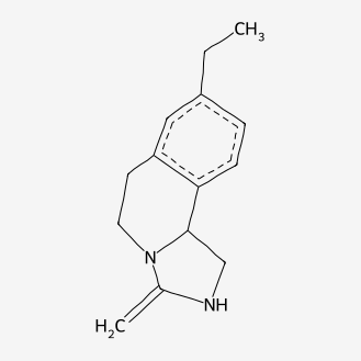 C=C1NCC2c3ccc(CC)cc3CCN12